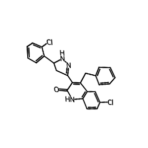 O=c1[nH]c2ccc(Cl)cc2c(Cc2ccccc2)c1C1=NNC(c2ccccc2Cl)C1